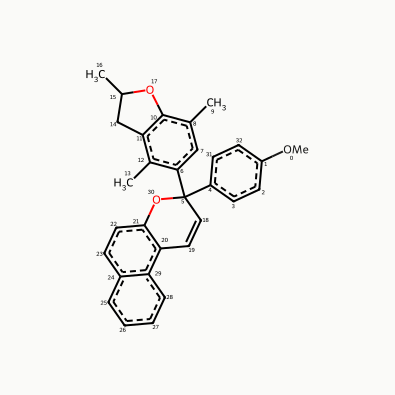 COc1ccc(C2(c3cc(C)c4c(c3C)CC(C)O4)C=Cc3c(ccc4ccccc34)O2)cc1